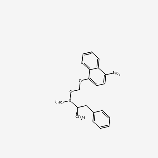 O=CN(OCOc1ccc([N+](=O)[O-])c2cccnc12)[C@@H](Cc1ccccc1)C(=O)O